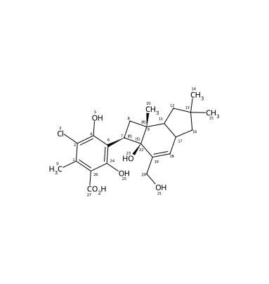 Cc1c(Cl)c(O)c([C@H]2C[C@]3(C)C4CC(C)(C)CC4C=C(CO)[C@]23O)c(O)c1C(=O)O